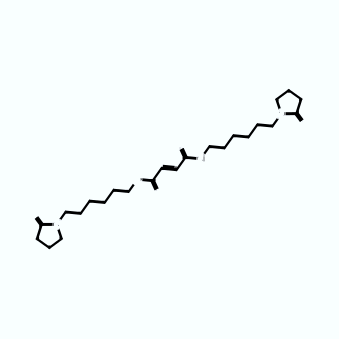 O=C(C=CC(=O)OCCCCCCN1CCCC1=O)NCCCCCCN1CCCC1=O